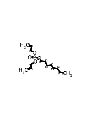 C=CCOP(=O)(OCC=C)OCCCCCCCC